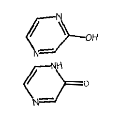 O=c1cncc[nH]1.Oc1cnccn1